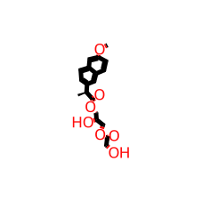 COc1ccc2cc([C@H](C)C(=O)OCC(O)COC(=O)CO)ccc2c1